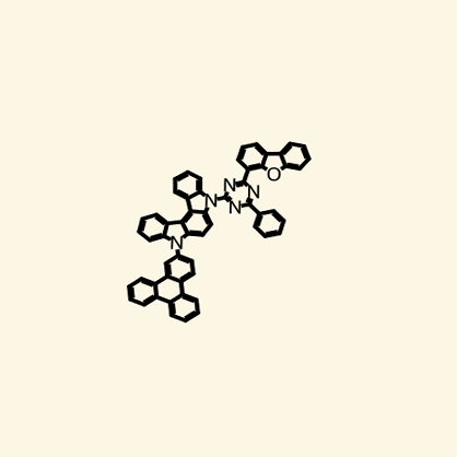 c1ccc(-c2nc(-c3cccc4c3oc3ccccc34)nc(-n3c4ccccc4c4c5c6ccccc6n(-c6ccc7c8ccccc8c8ccccc8c7c6)c5ccc43)n2)cc1